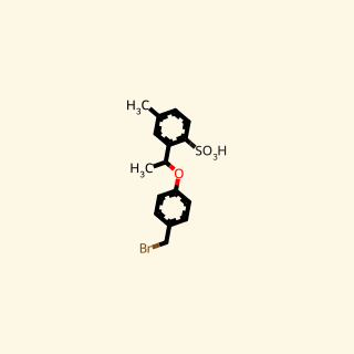 Cc1ccc(S(=O)(=O)O)c(C(C)Oc2ccc(CBr)cc2)c1